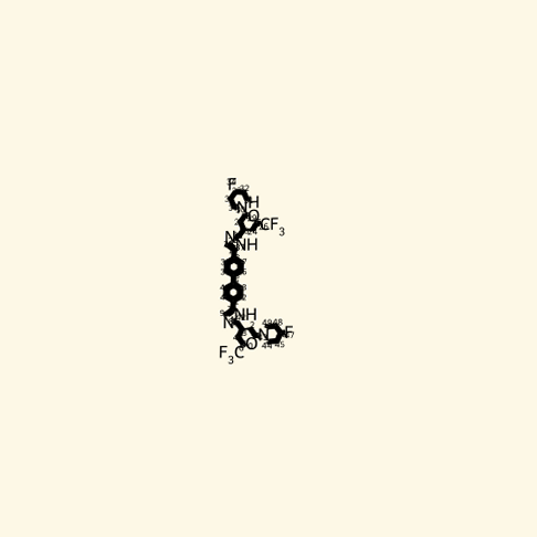 O=C(C[C@@H](CCC(F)(F)F)c1ncc(-c2ccc(-c3ccc(-c4cnc([C@H](CCC(F)(F)F)CC(O)N5CCC(F)CC5)[nH]4)cc3)cc2)[nH]1)N1CCC(F)CC1